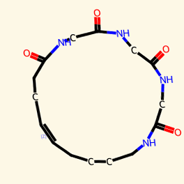 O=C1CC/C=C\CCCCNC(=O)CNC(=O)CNC(=O)CN1